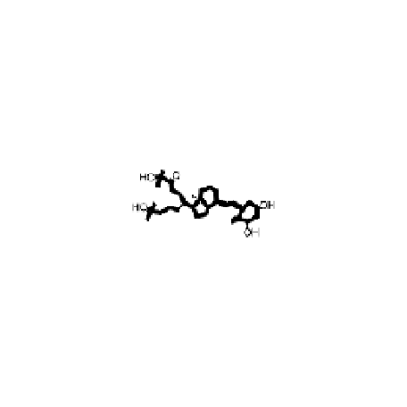 C=C1/C(=C\C=C2/CCC[C@@]3(C)C2CCC3[C@@H](CCCC(C)(C)O)CCC(=O)C(C)(C)O)CC(O)C[C@@H]1O